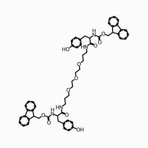 O=C(NC(Cc1ccc(O)cc1)C(=O)NCCCOCCOCCOCCCNC(=O)C(Cc1ccc(O)cc1)NC(=O)OCC1c2ccccc2-c2ccccc21)OCC1c2ccccc2-c2ccccc21